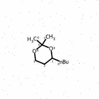 CCCCC1CCOC(C)(C)O1